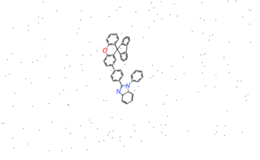 C1=CC2N=C(c3ccc(-c4ccc5c(c4)C4(c6ccccc6O5)c5ccccc5-c5ccccc54)cc3)N(c3ccccc3)C2C=C1